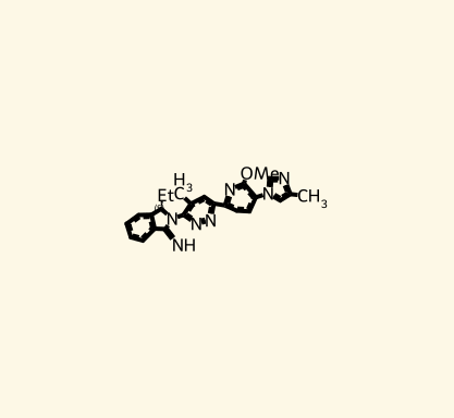 CC[C@H]1c2ccccc2C(=N)N1c1nnc(-c2ccc(-n3cnc(C)c3)c(OC)n2)cc1C